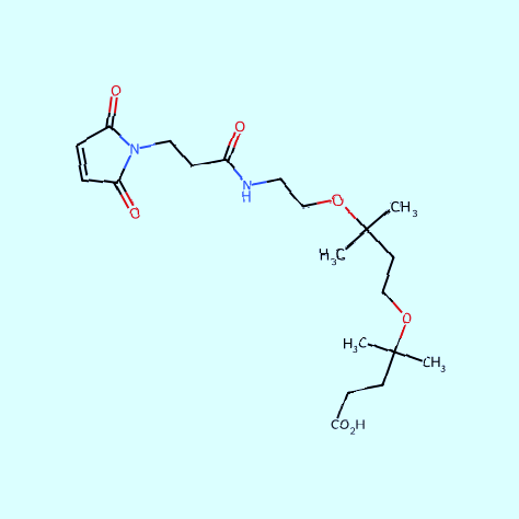 CC(C)(CCOC(C)(C)CCC(=O)O)OCCNC(=O)CCN1C(=O)C=CC1=O